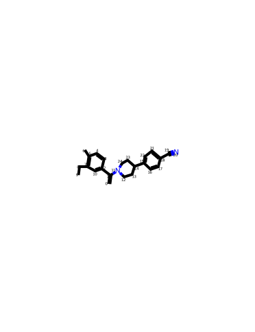 C=C(c1ccc(C)c(CC)c1)N1CCC(c2ccc(C#N)cc2)CC1